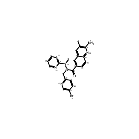 Cc1cc2cc(C(=O)N(Cc3ccc(Br)cn3)N(C)c3ncccn3)ccc2nc1N